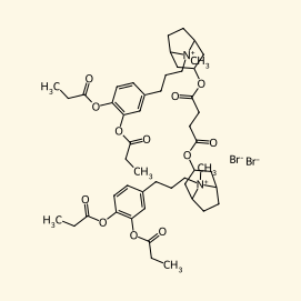 CCC(=O)Oc1ccc(CCC[N+]2(C)C3CCC2CC(OC(=O)CCC(=O)OC2CC4CCC(C2)[N+]4(C)CCCc2ccc(OC(=O)CC)c(OC(=O)CC)c2)C3)cc1OC(=O)CC.[Br-].[Br-]